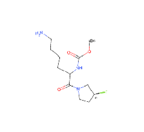 CC(C)(C)OC(=O)NC(CCCCN)C(=O)N1CC[C@H](F)C1